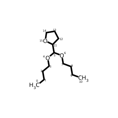 CCCCOC(OCCCC)C1CCCO1